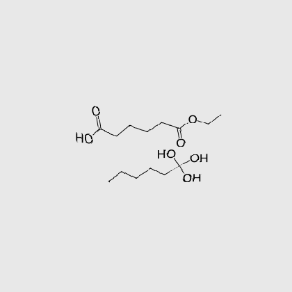 CCCCCC(O)(O)O.CCOC(=O)CCCCC(=O)O